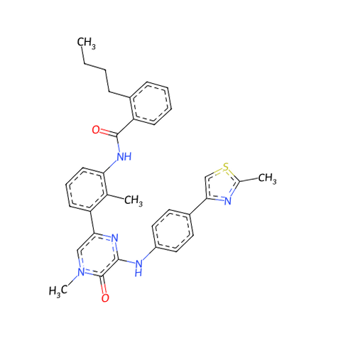 CCCCc1ccccc1C(=O)Nc1cccc(-c2cn(C)c(=O)c(Nc3ccc(-c4csc(C)n4)cc3)n2)c1C